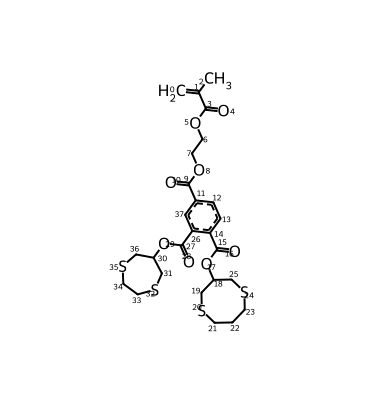 C=C(C)C(=O)OCCOC(=O)c1ccc(C(=O)OC2CSCCCSC2)c(C(=O)OC2CSCCSC2)c1